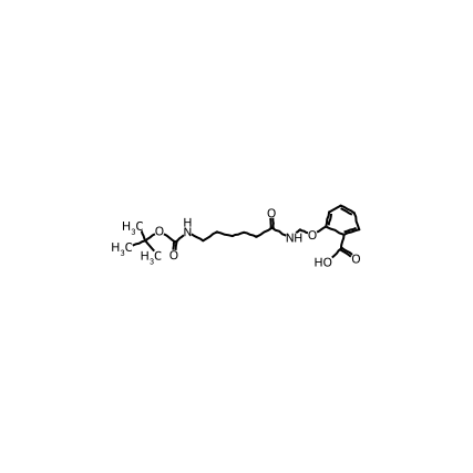 CC(C)(C)OC(=O)NCCCCCC(=O)NCOc1ccccc1C(=O)O